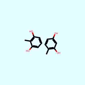 Cc1c(O)cccc1O.Cc1ccc(O)cc1O